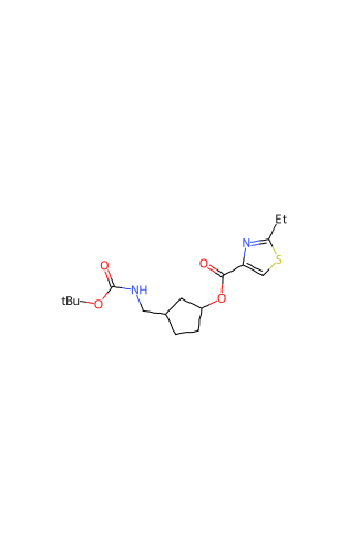 CCc1nc(C(=O)OC2CCC(CNC(=O)OC(C)(C)C)C2)cs1